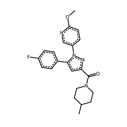 COc1ccc(-n2nc(C(=O)N3CCC(C)CC3)cc2-c2ccc(F)cc2)cn1